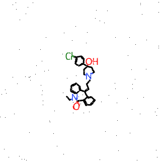 CCN1C(=O)c2ccccc2/C(=C/CCN2CCC(O)(c3ccc(Cl)cc3)CC2)c2ccccc21